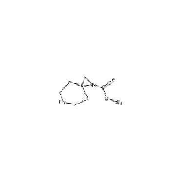 CC(C)(C)OC(=O)N1CC12CCNCC2